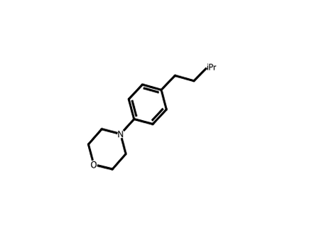 CC(C)CCc1ccc(N2CCOCC2)cc1